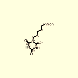 CCCCCCCCCCCCCCn1c(=O)[nH]c(=O)[nH]c1=O